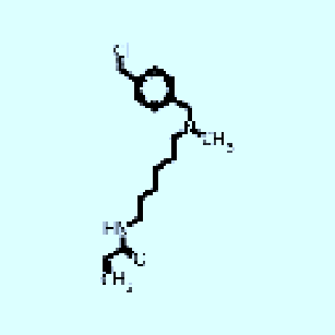 C=CC(=O)NCCCCCCN(C)Cc1ccc(CCl)cc1